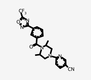 CC1CN(c2ccc(C#N)cn2)CC(C)N1C(=O)c1cccc(-c2noc(C(F)(F)F)n2)c1